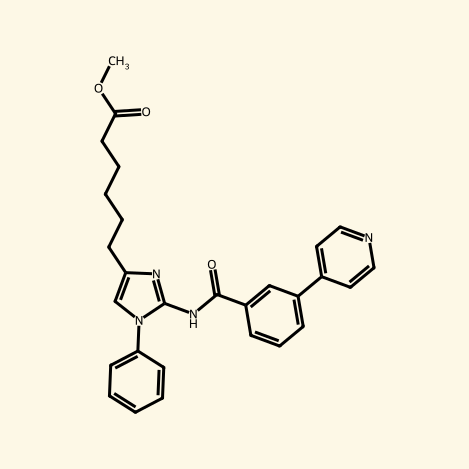 COC(=O)CCCCCc1cn(-c2ccccc2)c(NC(=O)c2cccc(-c3ccncc3)c2)n1